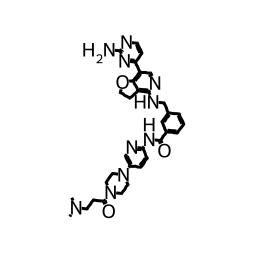 CN(C)CCC(=O)N1CCN(c2ccc(NC(=O)c3cccc(CNc4ncc(-c5ccnc(N)n5)c5c4CCO5)c3)nc2)CC1